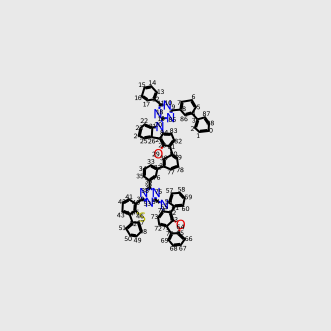 c1ccc(-c2cccc(-c3nc(-c4ccccc4)nc(-n4c5ccccc5c5c6oc7c(-c8cccc(-c9nc(-c%10cccc%11c%10sc%10ccccc%10%11)nc(-n%10c%11ccccc%11c%11c%12oc%13ccccc%13c%12ccc%11%10)n9)c8)cccc7c6ccc54)n3)c2)cc1